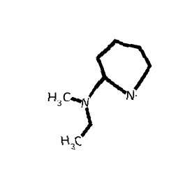 CCN(C)C1CCCC[N]1